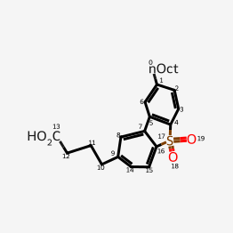 CCCCCCCCc1ccc2c(c1)-c1cc(CCCC(=O)O)ccc1S2(=O)=O